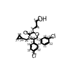 O=C1[C@@H](CCCO)O[C@H](c2cccc(Cl)c2)C(c2ccc(Cl)cc2)N1CC1CC1